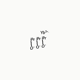 CC(C)[O-].CC(C)[O-].CC(C)[O-].[Yb+3]